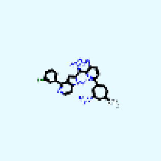 C=C1CC=C(c2ccc(N)c(C(=N)c3cc4c(-c5cccc(F)c5)nccc4[nH]3)n2)C=C(N)C1